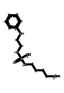 CCCCCCCCCCCCCCOP(=O)(O)OCCOc1ccccc1